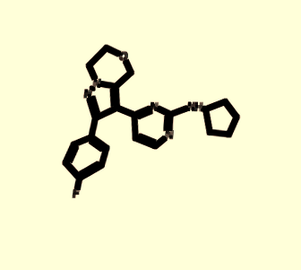 Fc1ccc(-c2nn3c(c2-c2ccnc(NC4CCCC4)n2)COCC3)cc1